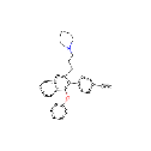 COc1ccc(-c2c(CCCN3CCCCC3)cc3ccccc3c2Oc2ccccc2)cc1